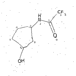 O=C(NC1CCC(O)C1)C(F)(F)F